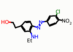 CCNc1cc(CCO)ccc1N=Nc1ccc([N+](=O)[O-])c(Cl)c1